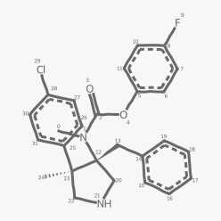 CN(C(=O)Oc1ccc(F)cc1)[C@]1(Cc2ccccc2)CNC[C@@]1(C)c1ccc(Cl)cc1